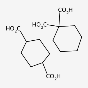 O=C(O)C1(C(=O)O)CCCCC1.O=C(O)C1CCC(C(=O)O)CC1